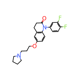 O=C1CCc2cc(OCCCN3CCCC3)ccc2N1c1ccc(F)c(F)c1